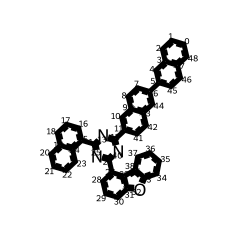 c1ccc2cc(-c3ccc4cc(-c5nc(-c6cccc7ccccc67)nc(-c6cccc7oc8ccccc8c67)n5)ccc4c3)ccc2c1